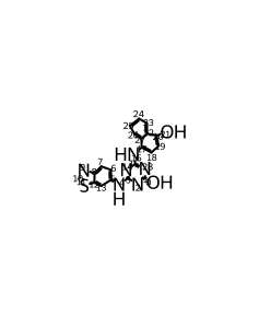 Oc1nc(Nc2ccc3ncsc3c2)nc(Nc2ccc(O)c3ccccc23)n1